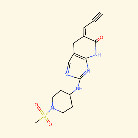 C#CC=C1Cc2cnc(NC3CCN(S(C)(=O)=O)CC3)nc2NC1=O